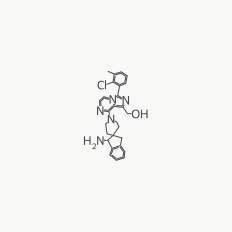 Cc1cccc(-c2nc(CO)c3c(N4CCC5(CC4)Cc4ccccc4[C@H]5N)nccn23)c1Cl